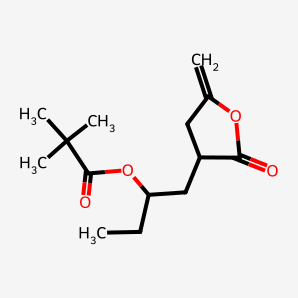 C=C1CC(CC(CC)OC(=O)C(C)(C)C)C(=O)O1